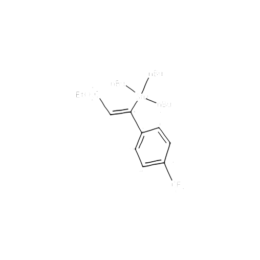 CCC[CH2][Sn]([CH2]CCC)([CH2]CCC)/[C](=C\C(=O)OCC)c1ccc(C(F)(F)F)cc1